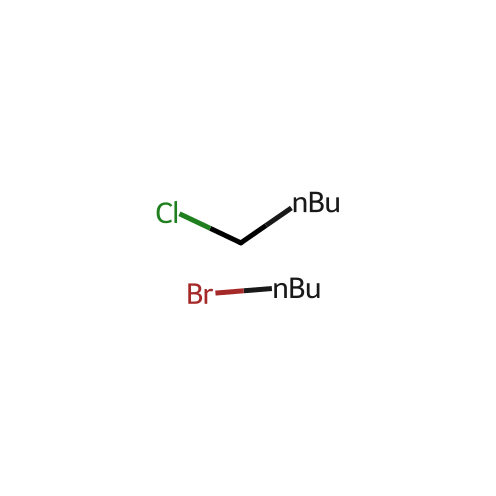 CCCCBr.CCCCCCl